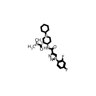 CN(C)C(=O)[C@@H]1CN(C2CCCCC2)CC[C@H]1NC(=O)c1cn(-c2ccc(F)cc2F)nn1